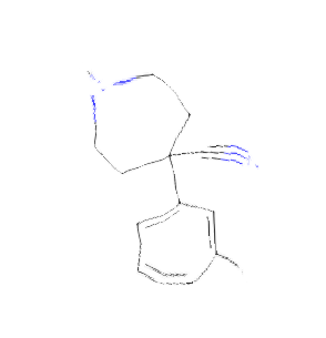 Cc1cccc(C2(C#N)CCN(C)CC2)c1